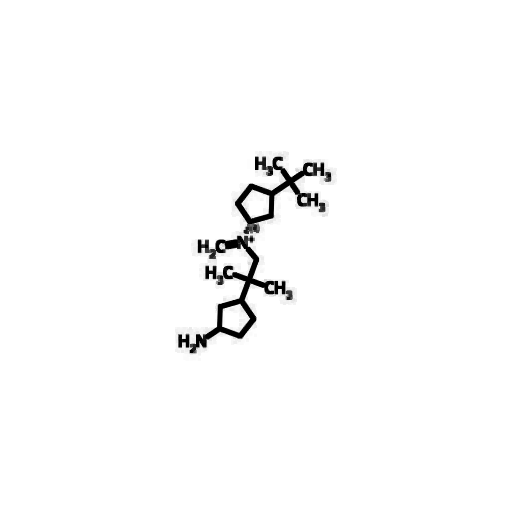 C=[N+](CC(C)(C)C1CCC(N)C1)[C@@H]1CCC(C(C)(C)C)C1